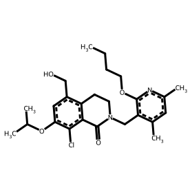 CCCCOc1nc(C)cc(C)c1CN1CCc2c(CO)cc(OC(C)C)c(Cl)c2C1=O